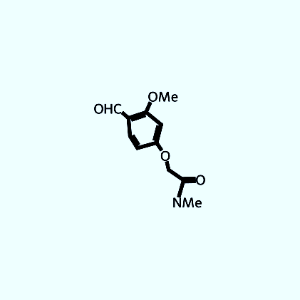 CNC(=O)COc1ccc(C=O)c(OC)c1